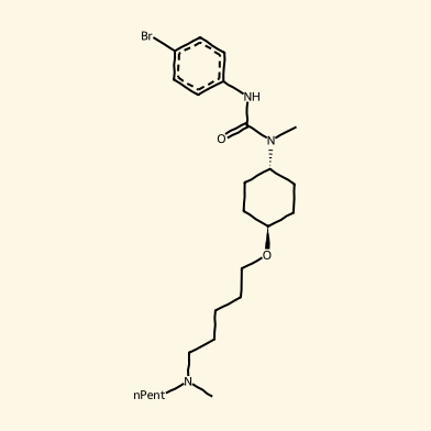 CCCCCN(C)CCCCCO[C@H]1CC[C@H](N(C)C(=O)Nc2ccc(Br)cc2)CC1